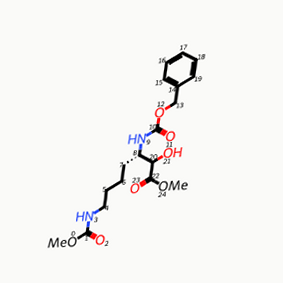 COC(=O)NCCCC[C@H](NC(=O)OCc1ccccc1)C(O)C(=O)OC